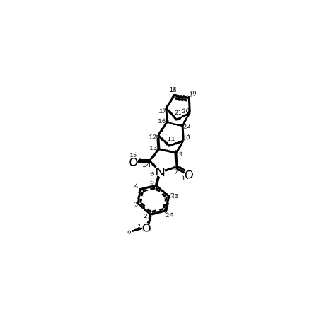 COc1ccc(N2C(=O)C3C4CC(C3C2=O)C2C3C=CC(C3)C42)cc1